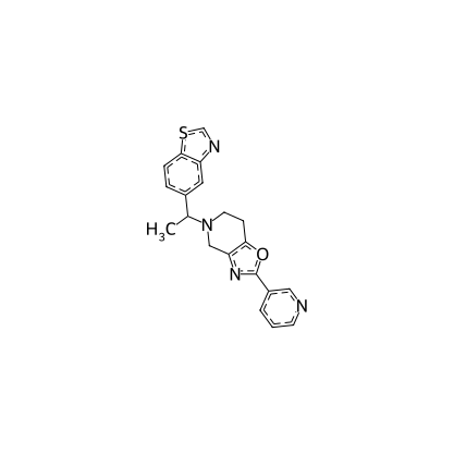 CC(c1ccc2scnc2c1)N1CCc2oc(-c3cccnc3)nc2C1